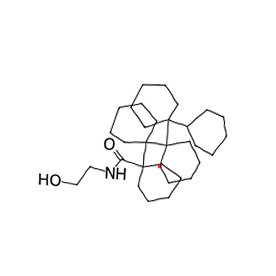 O=C(NCCO)C1(C2(C3(C4(C5CCCCC5)CCCCC4)CCCCC3)CCCCC2)CCCCC1